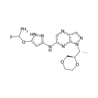 C[C@H]([C@@H]1COCCO1)n1ncc2ncc(Nc3cc(OC(F)P)[nH]n3)nc21